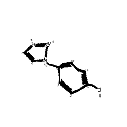 Clc1[c]cc(-n2ccnn2)cc1